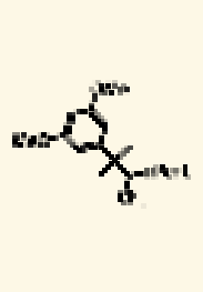 CCCCCC(C(F)(F)F)C(C)(C)c1cc(OC)cc(OC)c1